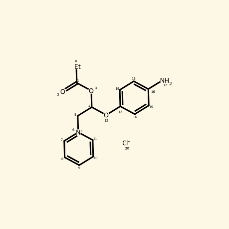 CCC(=O)OC(C[n+]1ccccc1)Oc1ccc(N)cc1.[Cl-]